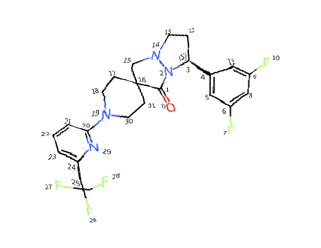 O=C1N2[C@H](c3cc(F)cc(F)c3)CCN2CC12CCN(c1cccc(C(F)(F)F)n1)CC2